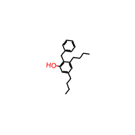 CCCCc1cc(O)c(Cc2ccccc2)c(CCCC)c1